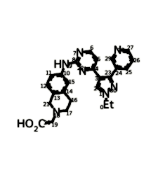 CCn1cc(-c2ccnc(Nc3ccc4c(c3)CCN(CC(=O)O)C4)n2)c(-c2cccnc2)n1